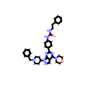 O=C(NCCc1ccccc1)Nc1ccc(-c2nc(N3CCOCC3)c3cnn(C4CCN(Cc5ccccc5)CC4)c3n2)cc1